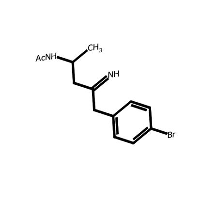 CC(=O)NC(C)CC(=N)Cc1ccc(Br)cc1